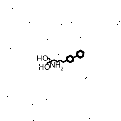 NC(CO)(CO)CCCCc1ccc(-c2ccccc2)cc1